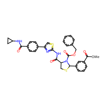 COC(=O)c1cccc(C2SCC(C(=O)Nc3nc(-c4ccc(C(=O)NC5CC5)cc4)cs3)N2C(=O)OCc2ccccc2)c1